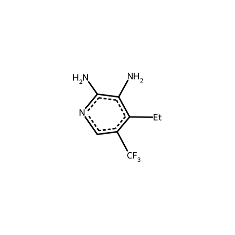 CCc1c(C(F)(F)F)cnc(N)c1N